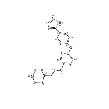 c1cc(-c2ccc(Oc3ccc(OCCN4CCOCC4)cc3)cc2)[nH]n1